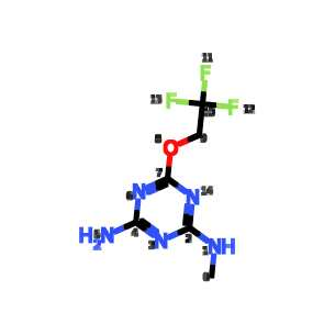 CNc1nc(N)nc(OCC(F)(F)F)n1